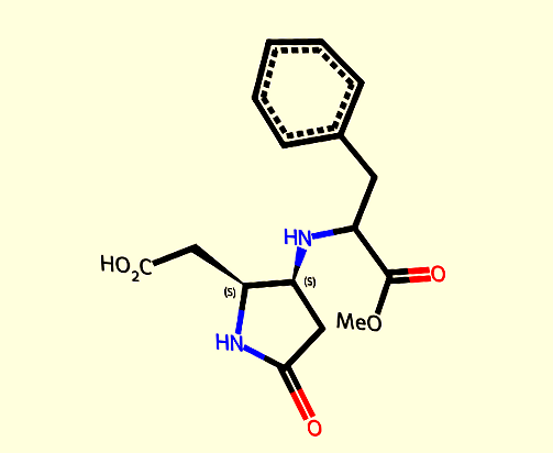 COC(=O)C(Cc1ccccc1)N[C@H]1CC(=O)N[C@H]1CC(=O)O